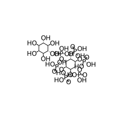 O=P(O)(O)O[C@H]1[C@H](OP(=O)(O)O)[C@@H](OP(=O)(O)O)[C@H](OP(=O)(O)O)[C@@H](OP(=O)(O)O)[C@H]1OP(=O)(O)O.O[C@H]1[C@H](O)[C@@H](O)[C@H](O)[C@@H](O)[C@H]1O